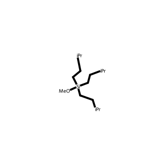 CO[Si](CCC(C)C)(CCC(C)C)CCC(C)C